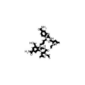 CCn1nc(C)cc1C(=O)Nc1nc2cc(C(N)=O)ccc2n1C/C=C/Cn1c(NC(=O)c2cc(C)nn2CC)nc2cc(C(N)=O)cc(CO)c21